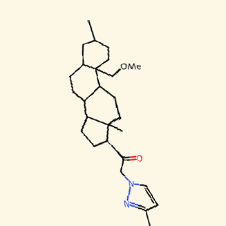 COCC12CCC(C)CC1CCC1C2CCC2(C)C1CC[C@@H]2C(=O)Cn1ccc(C(F)(F)F)n1